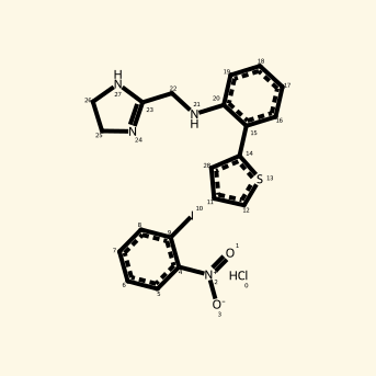 Cl.O=[N+]([O-])c1ccccc1I.c1csc(-c2ccccc2NCC2=NCCN2)c1